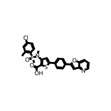 Cc1cc(Cl)ccc1P(C)(=O)N(C)c1cc(-c2ccc(-c3cc4ncccc4o3)cc2)sc1C(=O)O